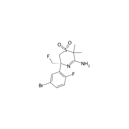 CC1(C)C(N)=N[C@@](CF)(c2cc(Br)ccc2F)CS1(=O)=O